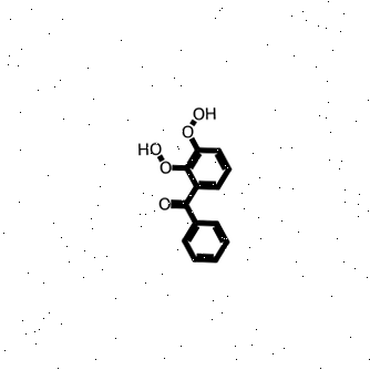 O=C(c1ccccc1)c1cccc(OO)c1OO